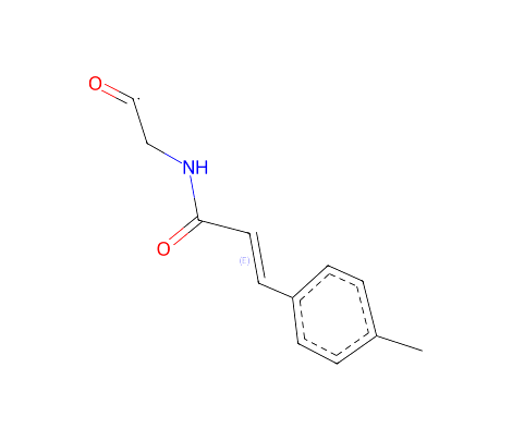 Cc1ccc(/C=C/C(=O)NC[C]=O)cc1